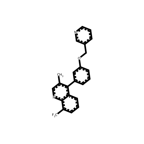 Cc1cnc2c(C(F)(F)F)cccc2c1-c1cccc(OCc2cccnc2)c1